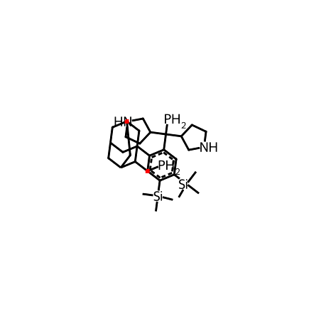 C[Si](C)(C)c1cc(C23CC4CC(CC(C4)C2CP)C3)c(C(P)(C2CCNC2)C2CCNC2)cc1[Si](C)(C)C